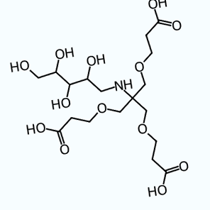 O=C(O)CCOCC(COCCC(=O)O)(COCCC(=O)O)NCC(O)C(O)C(O)CO